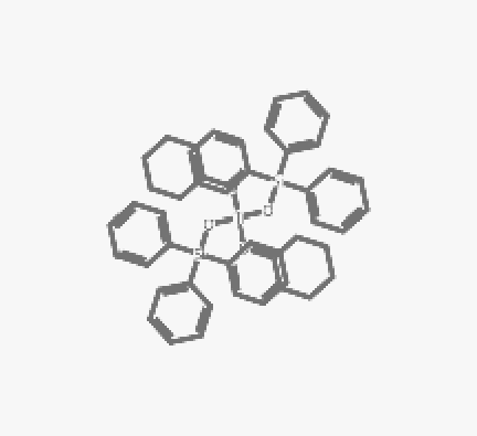 c1ccc([Si]([O][Ti]([O]C2CCCCC2)([O]C2CCCCC2)[O][Si](c2ccccc2)(c2ccccc2)c2ccccc2)(c2ccccc2)c2ccccc2)cc1